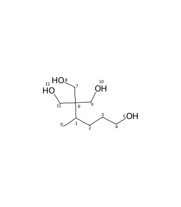 CC(CCCO)C(CO)(CO)CO